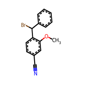 COc1cc(C#N)ccc1C(Br)c1ccccc1